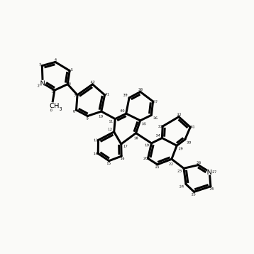 Cc1ncccc1-c1ccc(-c2c3ccccc3c(-c3ccc(-c4cccnc4)c4ccccc34)c3ccccc23)cc1